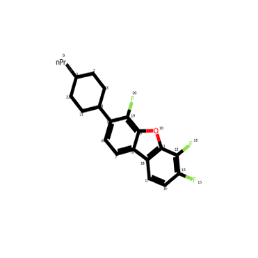 CCCC1CCC(c2ccc3c(oc4c(F)c(F)ccc43)c2F)CC1